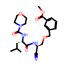 COC(=O)c1cccc(COC[C@@H](C#N)NC(=O)[C@H](CC(C)C)NC(=O)N2CCOCC2)c1